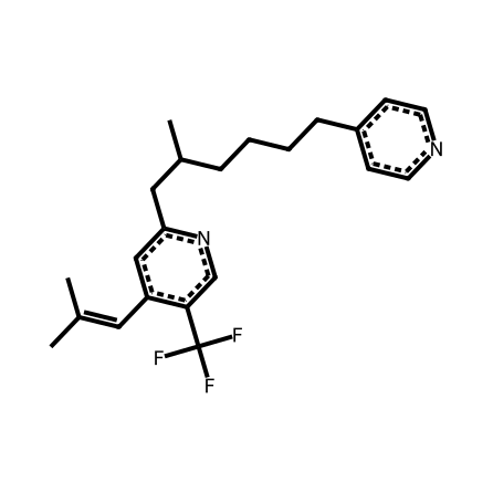 CC(C)=Cc1cc(CC(C)CCCCc2ccncc2)ncc1C(F)(F)F